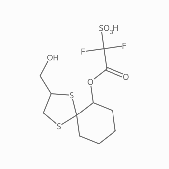 O=C(OC1CCCCC12SCC(CO)S2)C(F)(F)S(=O)(=O)O